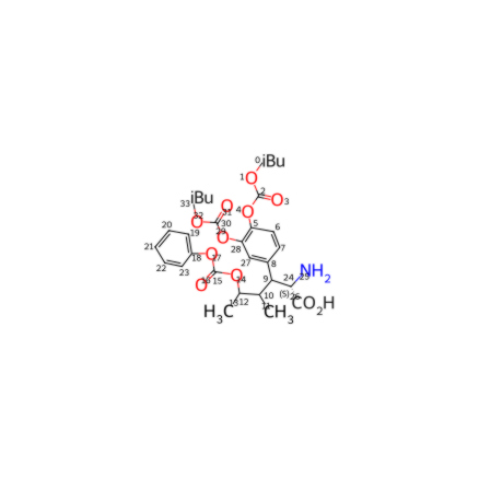 CCC(C)OC(=O)Oc1ccc(C(C(C)C(C)OC(=O)Oc2ccccc2)[C@H](N)C(=O)O)cc1OC(=O)OC(C)CC